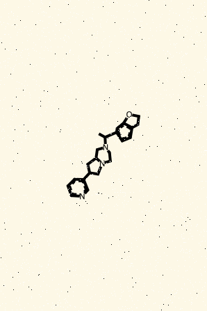 CC(c1ccc2c(c1)OCC2)N1CCN2CC(c3cccnc3)CC2C1